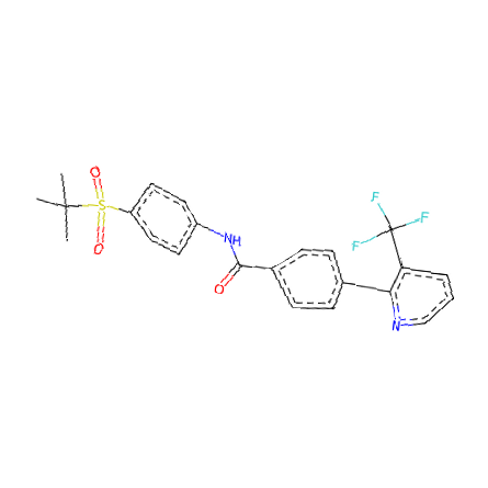 CC(C)(C)S(=O)(=O)c1ccc(NC(=O)c2ccc(-c3ncccc3C(F)(F)F)cc2)cc1